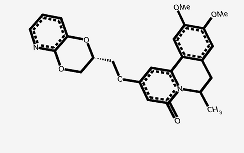 COc1cc2c(cc1OC)-c1cc(OC[C@@H]3COc4ncccc4O3)cc(=O)n1C(C)C2